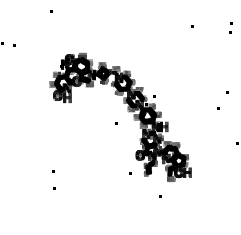 C=CCn1c(=O)c2cnc(Nc3ccc(N4CCN(C5CCN(C[C@H]6C[C@H](n7ccc8c9c(C%10CCC(=O)NC%10=O)noc9ccc87)C6)CC5)CC4)cc3)nc2n1-c1ccc2c(n1)[C@@](O)(CC)CC2